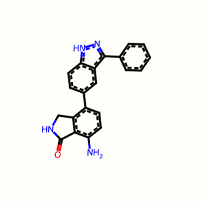 Nc1ccc(-c2ccc3[nH]nc(-c4ccccc4)c3c2)c2c1C(=O)NC2